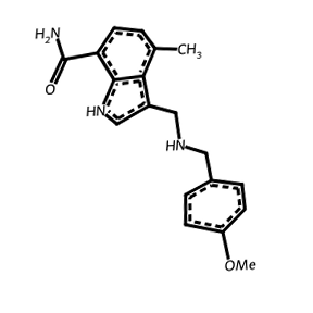 COc1ccc(CNCc2c[nH]c3c(C(N)=O)ccc(C)c23)cc1